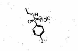 [B+2]c1ccc(S(=O)(=O)NCC)cc1.[OH-].[OH-]